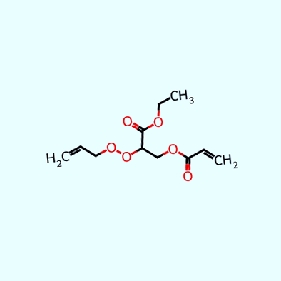 C=CCOOC(COC(=O)C=C)C(=O)OCC